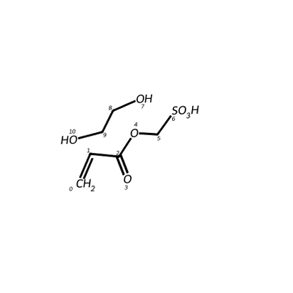 C=CC(=O)OCS(=O)(=O)O.OCCO